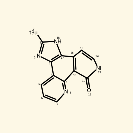 CC(C)(C)c1nc2c3cccnc3c3c(=O)[nH]ccc3c2[nH]1